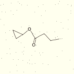 [CH2]CCC(=O)OC1CC1